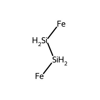 [Fe][SiH2][SiH2][Fe]